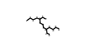 CCCCC(CC)C[CH]CC(CC)CCCC